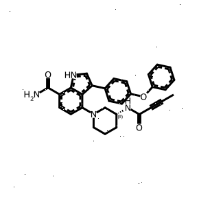 CC#CC(=O)N[C@@H]1CCCN(c2ccc(C(N)=O)c3[nH]cc(-c4ccc(Oc5ccccc5)cc4)c23)C1